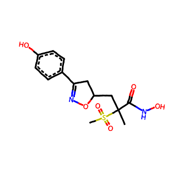 CC(CC1CC(c2ccc(O)cc2)=NO1)(C(=O)NO)S(C)(=O)=O